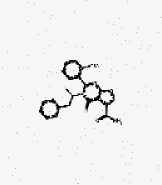 COc1ccccc1-c1nc2snc(C(N)=O)c2c(=O)n1[C@H](C)Cc1ccccc1